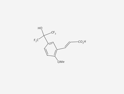 COc1ccc(C(O)(C(F)(F)F)C(F)(F)F)cc1/C=C/C(=O)O